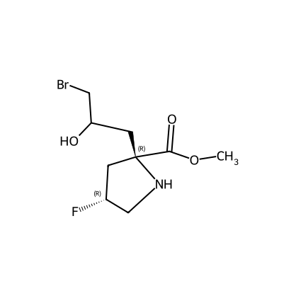 COC(=O)[C@@]1(CC(O)CBr)C[C@@H](F)CN1